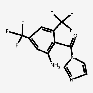 Nc1cc(C(F)(F)F)cc(C(F)(F)F)c1C(=O)n1ccnc1